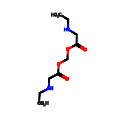 O=C(O)CNCC(=O)OCOC(=O)CNCC(=O)O